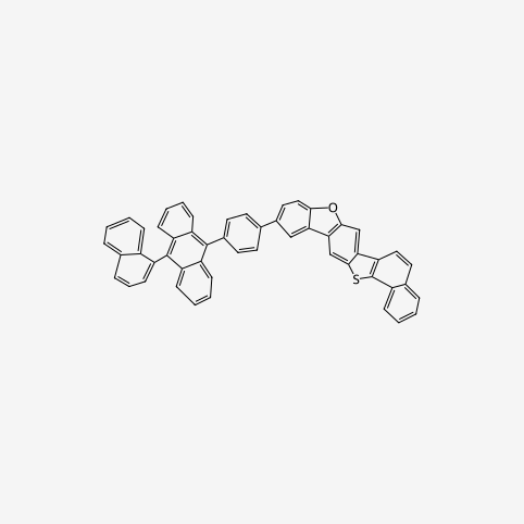 c1ccc2c(-c3c4ccccc4c(-c4ccc(-c5ccc6oc7cc8c(cc7c6c5)sc5c6ccccc6ccc85)cc4)c4ccccc34)cccc2c1